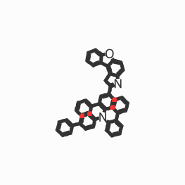 c1ccc(-c2ccc(N(c3ccccc3-c3ccccc3)c3ccc(C4=Nc5ccc6oc7ccccc7c6c5C4)cc3-c3ccccc3)cc2)cc1